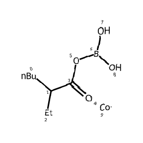 CCCCC(CC)C(=O)OB(O)O.[Co]